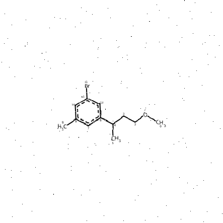 COCC[C](C)c1cc(C)cc(Br)c1